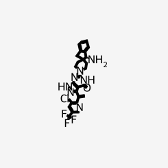 C=C(c1ncc(C(F)(F)F)cc1Cl)c1n[nH]c2nc(N3CCC4(CC3)Cc3ccccc3[C@H]4N)[nH]c(=O)c12